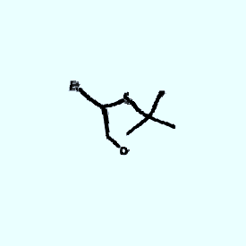 CCC(C[O])SC(C)(C)C